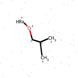 CC(C)C[O][RaH]